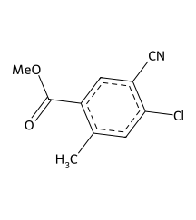 COC(=O)c1cc(C#N)c(Cl)cc1C